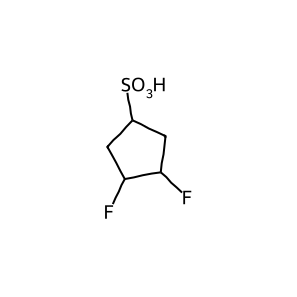 O=S(=O)(O)C1CC(F)C(F)C1